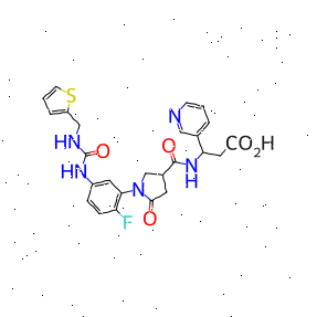 O=C(O)CC(NC(=O)C1CC(=O)N(c2cc(NC(=O)NCc3cccs3)ccc2F)C1)c1cccnc1